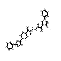 O=C(NCCNC(=O)C1CCC(c2cnc(-c3ccccc3)o2)CC1)c1cn(-c2ccccc2)nc1C(F)(F)F